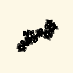 CC(C)(C)OC(=O)N(CC1CC1)c1cc(-c2nc(C(=O)Nc3cn(OC(=O)c4ccccc4)nc3C(F)F)co2)ccn1